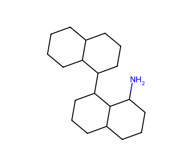 NC1CCCC2CCCC(C3CCCC4CCCCC43)C12